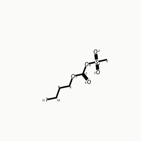 CS(=O)(=O)OC(=O)OCCCI